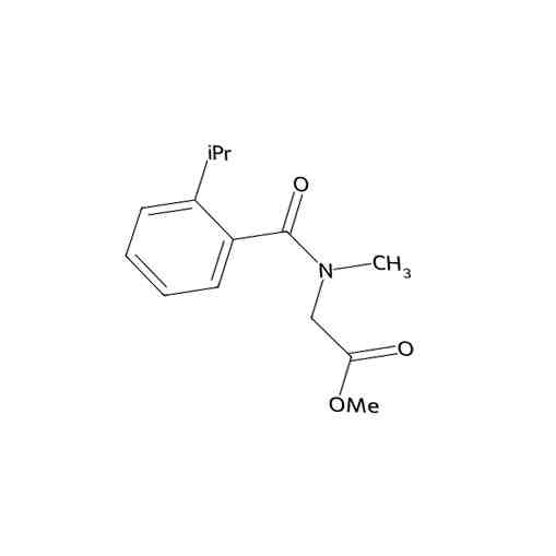 COC(=O)CN(C)C(=O)c1ccccc1C(C)C